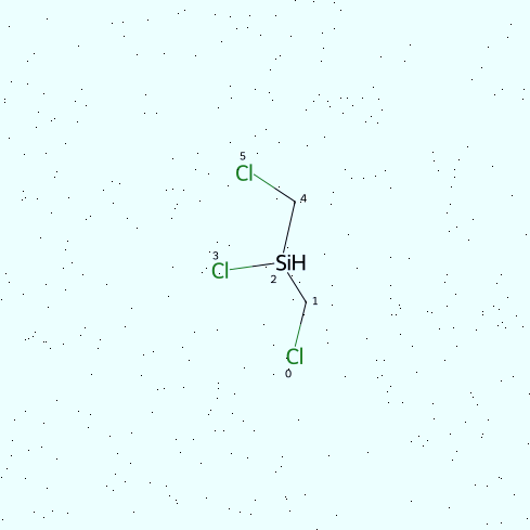 ClC[SiH](Cl)CCl